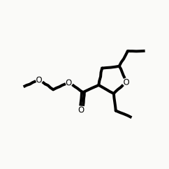 CCC1CC(C(=O)OCOC)C(CC)O1